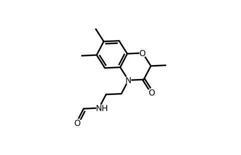 Cc1cc2c(cc1C)N(CCNC=O)C(=O)C(C)O2